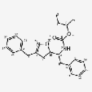 CCC(C)OC(=O)NC(Cc1ccccc1)C1CC(Cc2ccccc2)=NO1